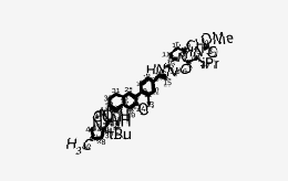 COC(=O)N[C@H](C(=O)N1[C@@H](C)CC[C@H]1c1ncc(-c2ccc3c(c2)COc2cc4c(cc2-3)CCc2nc([C@@]3(C(C)(C)C)C[C@H](C)CN3C(=O)O)[nH]c2-4)[nH]1)C(C)C